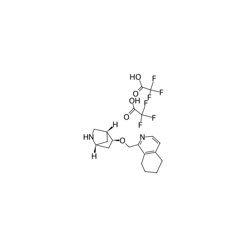 O=C(O)C(F)(F)F.O=C(O)C(F)(F)F.c1cc2c(c(CO[C@H]3C[C@H]4C[C@@H]3CN4)n1)CCCC2